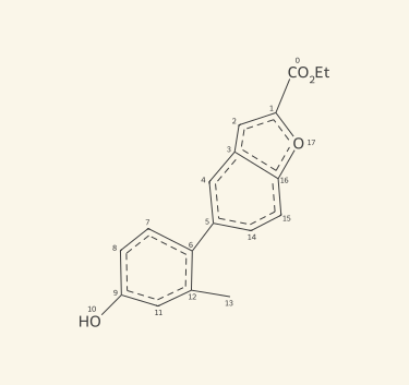 CCOC(=O)c1cc2cc(-c3ccc(O)cc3C)ccc2o1